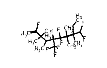 C=C(F)C(C)(C)C(C)C(F)(C(F)(F)F)C(F)(F)C(C)(C)C(C)(CC)C(F)F